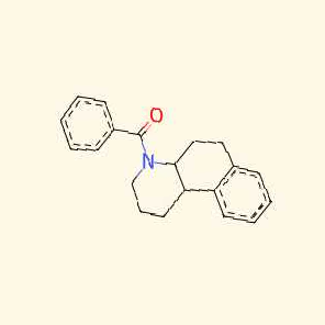 O=C(c1ccccc1)N1CCCC2c3ccccc3CCC21